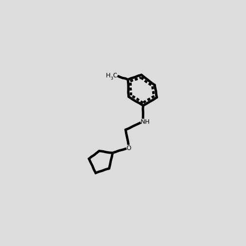 Cc1cccc(NCOC2CCCC2)c1